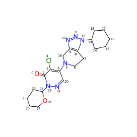 O=c1c(Cl)c(N2CCc3c(nnn3C3CCCCC3)C2)cnn1C1CCCCO1